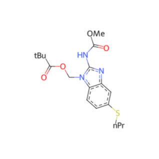 CCCSc1ccc2c(c1)nc(NC(=O)OC)n2COC(=O)C(C)(C)C